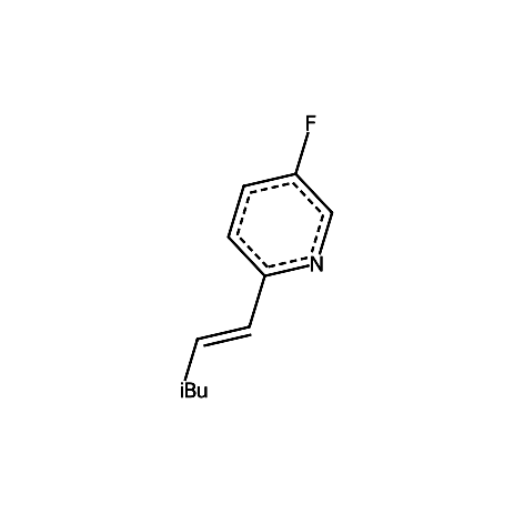 CCC(C)/C=C/c1ccc(F)cn1